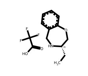 CC[C@H]1COc2ccccc2CN1.O=C(O)C(F)(F)F